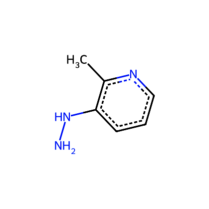 Cc1ncccc1NN